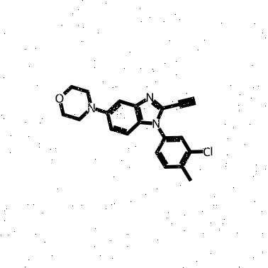 C#Cc1nc2cc(N3CCOCC3)ccc2n1-c1ccc(C)c(Cl)c1